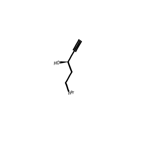 C#C[C@H](O)CCCCC